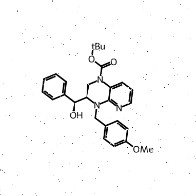 COc1ccc(CN2c3ncccc3N(C(=O)OC(C)(C)C)C[C@@H]2[C@@H](O)c2ccccc2)cc1